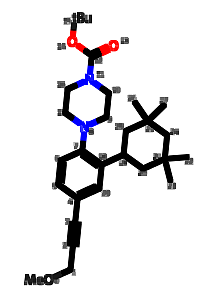 COCC#Cc1ccc(N2CCN(C(=O)OC(C)(C)C)CC2)c(C2CC(C)(C)CC(C)(C)C2)c1